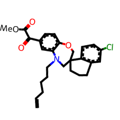 C=CCCCCN1CC2(CCCc3cc(Cl)ccc32)COc2ccc(C(=O)C(=O)OC)cc21